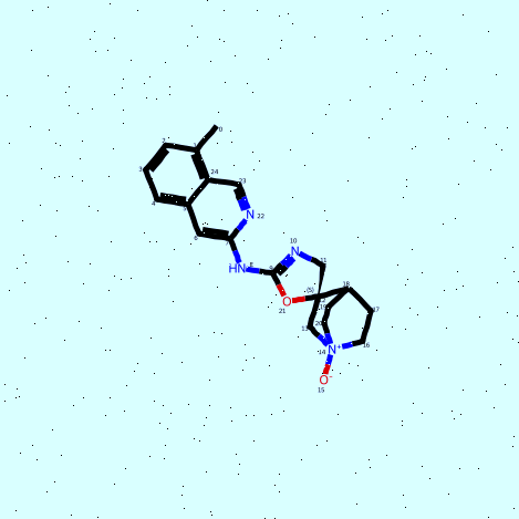 Cc1cccc2cc(NC3=NC[C@@]4(C[N+]5([O-])CCC4CC5)O3)ncc12